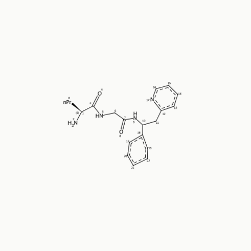 CCC[C@H](N)C(=O)NCC(=O)NC(Cc1ccccn1)c1ccccc1